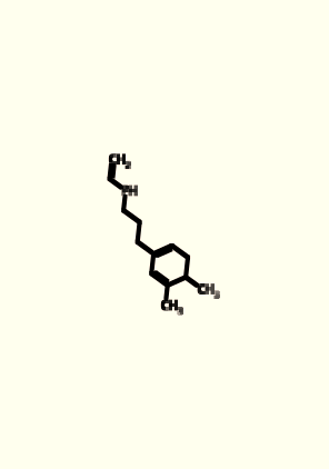 C=CPCCCC1=CCC(C)C(C)=C1